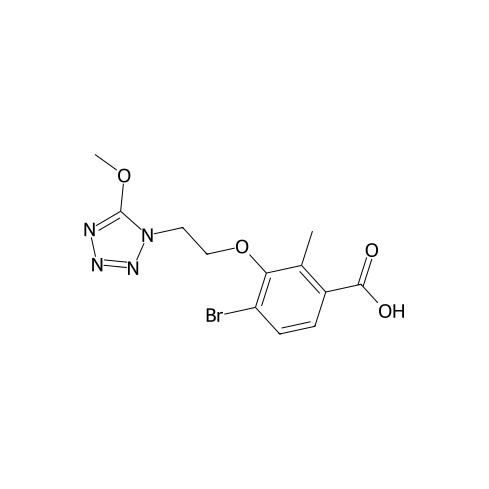 COc1nnnn1CCOc1c(Br)ccc(C(=O)O)c1C